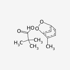 CC(C)(C)C(=O)O.Cc1ccc2cc1OO2